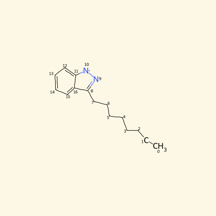 CCCCCCCCC1=N[N]c2ccccc21